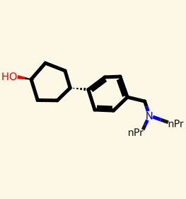 CCCN(CCC)Cc1ccc([C@H]2CC[C@H](O)CC2)cc1